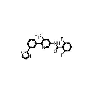 Cc1cc(NC(=O)c2c(F)cccc2F)cnc1-c1cccc(-c2ncco2)c1